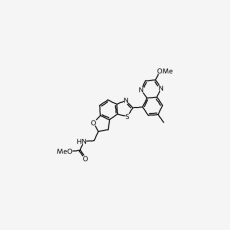 COC(=O)NCC1Cc2c(ccc3nc(-c4cc(C)cc5nc(OC)cnc45)sc23)O1